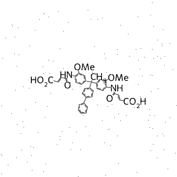 COc1cc(C(C)(c2ccc(-c3ccccc3)cc2)c2ccc(NC(=O)/C=C/C(=O)O)c(OC)c2)ccc1NC(=O)/C=C/C(=O)O